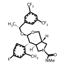 CNC(=O)N1C[C@H]2CO[C@H](O[C@H](C)c3cc(C(F)(F)F)cc(C(F)(F)F)c3)[C@@H](c3ccc(F)cc3C)[C@@H]2C1